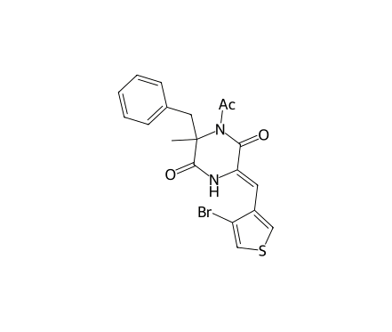 CC(=O)N1C(=O)/C(=C/c2cscc2Br)NC(=O)C1(C)Cc1ccccc1